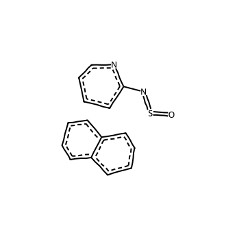 O=S=Nc1ccccn1.c1ccc2ccccc2c1